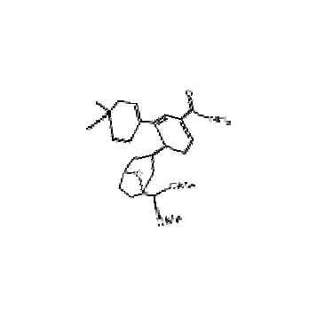 COC(OC)C12CCC(CC([C]3CC=C(C(N)=O)C=C3C3=CCC(C)(C)CC3)C1)O2